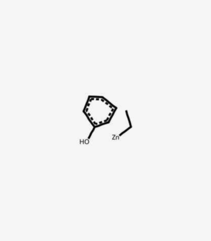 C[CH2][Zn].Oc1ccccc1